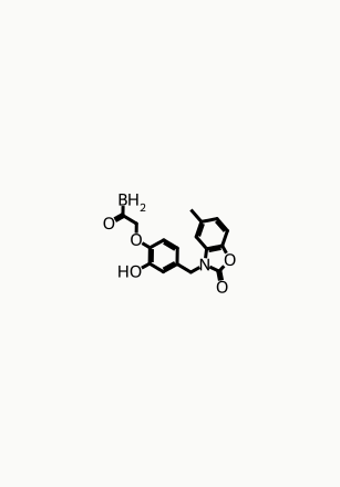 BC(=O)COc1ccc(Cn2c(=O)oc3ccc(C)cc32)cc1O